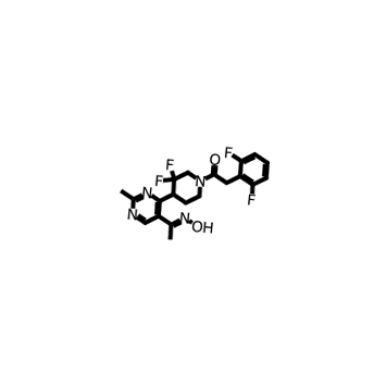 CC(=NO)c1cnc(C)nc1C1CCN(C(=O)Cc2c(F)cccc2F)CC1(F)F